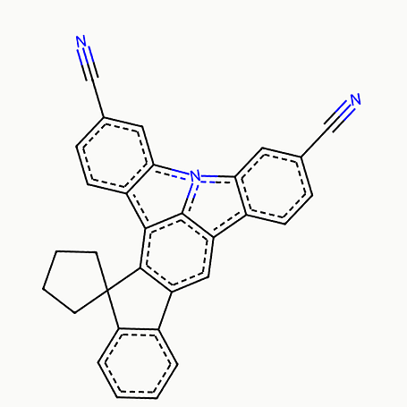 N#Cc1ccc2c3cc4c(c5c6ccc(C#N)cc6n(c2c1)c35)C1(CCCC1)c1ccccc1-4